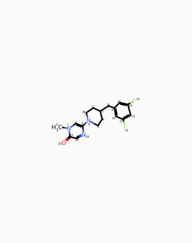 Cn1cc(N2CCC(Cc3cc(F)cc(F)c3)CC2)ncc1=O